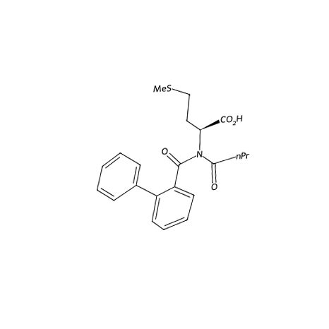 CCCC(=O)N(C(=O)c1ccccc1-c1ccccc1)[C@@H](CCSC)C(=O)O